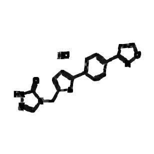 Cl.O=c1[nH]ncn1Cc1ccc(-c2ccc(-c3ccon3)cc2)s1